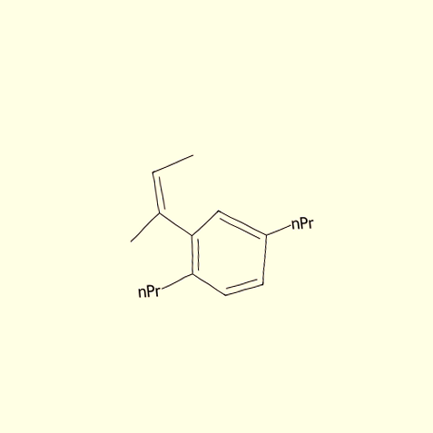 C/C=C(/C)c1cc(CCC)ccc1CCC